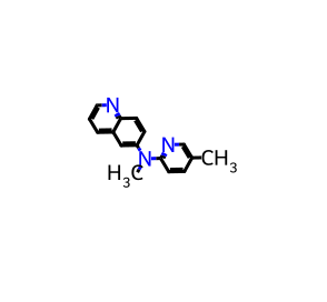 Cc1ccc(N(C)c2ccc3ncccc3c2)nc1